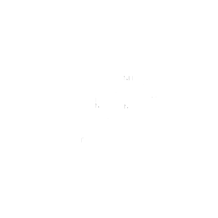 Cn1c(C(=O)Nc2ccc(F)c(F)c2)c2cc[nH]c2c1S(=O)(=O)Cl